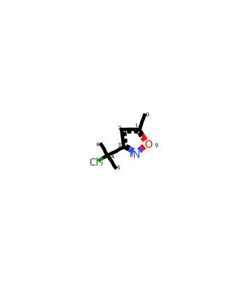 Cc1cc(C(C)(C)Cl)no1